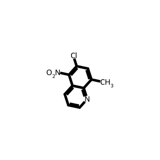 Cc1cc(Cl)c([N+](=O)[O-])c2cccnc12